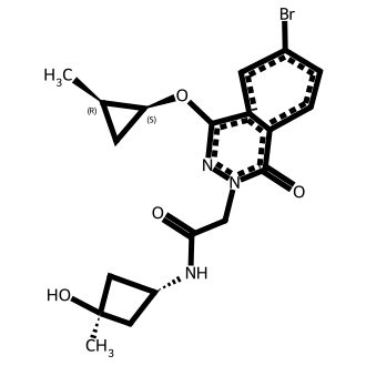 C[C@@H]1C[C@@H]1Oc1nn(CC(=O)N[C@H]2C[C@](C)(O)C2)c(=O)c2ccc(Br)cc12